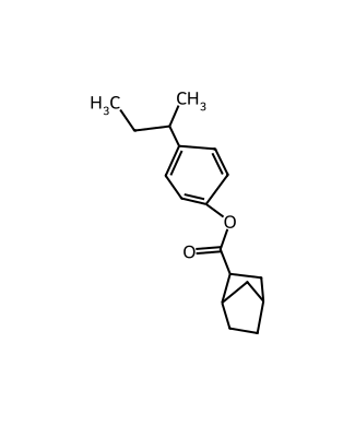 CCC(C)c1ccc(OC(=O)C2CC3CCC2C3)cc1